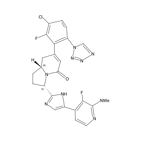 CNc1nccc(-c2cnc([C@@H]3CC[C@@H]4CC(c5c(-n6cnnn6)ccc(Cl)c5F)=CC(=O)N43)[nH]2)c1F